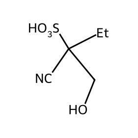 CCC(C#N)(CO)S(=O)(=O)O